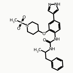 CC(Cc1ccccc1)NC(=O)Nc1ccc(-c2cn[nH]c2)cc1OC1CCN(S(C)(=O)=O)CC1